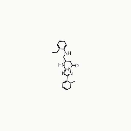 CCc1ccccc1NCC1CC(=O)n2nc(C3=CC=CCC3C)nc2N1